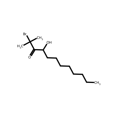 CCCCCCCCC(O)C(=O)C(C)(C)Br